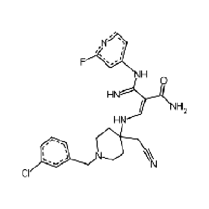 N#CCC1(N/C=C(\C(=N)Nc2ccnc(F)c2)C(N)=O)CCN(Cc2cccc(Cl)c2)CC1